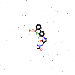 CC(=O)NC[C@@H]1CCN(c2ccc(-c3ccccc3CO)c(F)c2F)C1=O